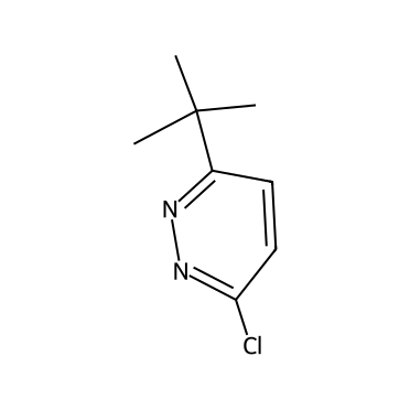 CC(C)(C)c1ccc(Cl)nn1